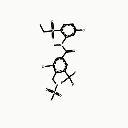 CCS(=O)(=O)c1ccc(Cl)cc1N(C)C(=O)c1cc(Cl)c(COS(C)(=O)=O)c(C(F)(F)F)c1